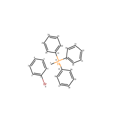 Brc1ccccc1.C[PH](c1ccccc1)(c1ccccc1)c1ccccc1